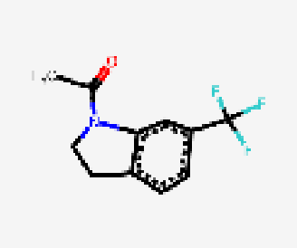 CC(=O)N1CCc2ccc(C(F)(F)F)cc21